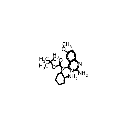 COc1ccc2nc(N)nc(N(C(=O)OC(C)(C)C)C3CCCCC3N)c2c1